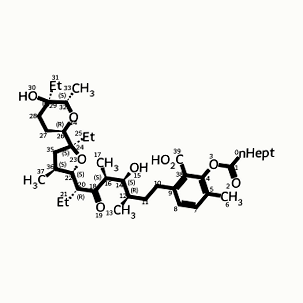 CCCCCCCC(=O)Oc1c(C)ccc(CC[C@@H](C)[C@H](O)[C@H](C)C(=O)[C@H](CC)[C@H]2O[C@](CC)([C@H]3CC[C@](O)(CC)[C@H](C)O3)C[C@@H]2C)c1C(=O)O